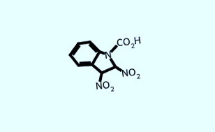 O=C(O)N1c2ccccc2C([N+](=O)[O-])C1[N+](=O)[O-]